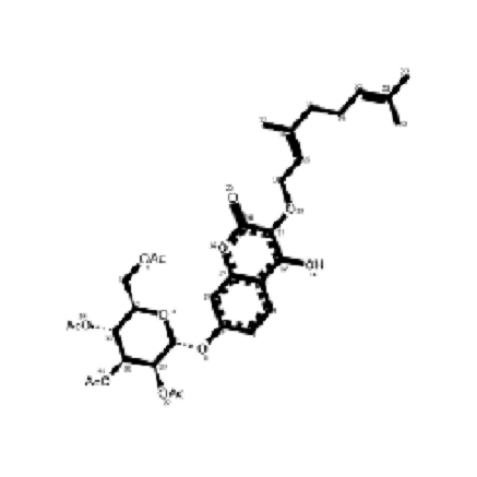 CC(=O)OC[C@H]1O[C@H](Oc2ccc3c(O)c(OC/C=C(\C)CCC=C(C)C)c(=O)oc3c2)[C@@H](OC(C)=O)[C@@H](OC(C)=O)[C@@H]1OC(C)=O